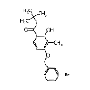 Cc1c(OCc2cccc(Br)c2)ccc(C(=O)CC(C)(C)C)c1O